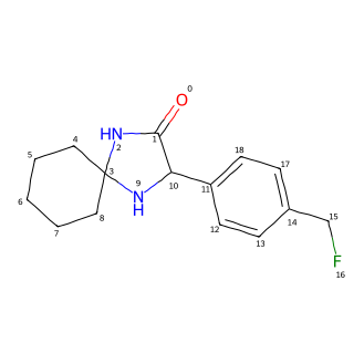 O=C1NC2(CCCCC2)NC1c1ccc(CF)cc1